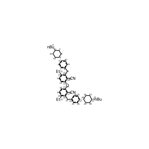 CCCC[C@H]1CC[C@H](c2ccc(Cc3c(CC)ccc(Oc4ccc(CC)c(Cc5ccc([C@H]6CC[C@H](CCCC)CC6)cc5)c4C#N)c3C#N)cc2)CC1